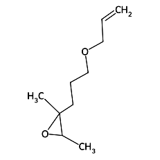 C=CCOCCCC1(C)OC1C